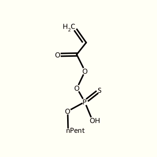 C=CC(=O)OOP(O)(=S)OCCCCC